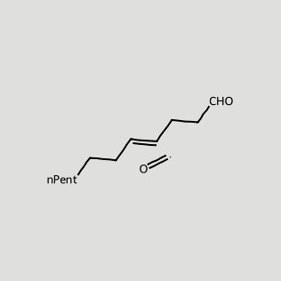 CCCCCCCC=CCCC=O.[CH]=O